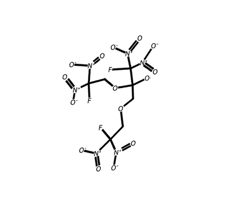 [O]C(COCC(F)([N+](=O)[O-])[N+](=O)[O-])(OCC(F)([N+](=O)[O-])[N+](=O)[O-])C(F)([N+](=O)[O-])[N+](=O)[O-]